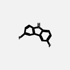 Fc1ccc2[nH]c3ccc(F)cc3c2c1